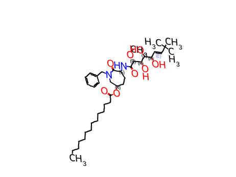 CCCCCCCCCCCCCC(=O)O[C@@H]1CC[C@H](NC(=O)[C@H](OC)[C@H](O)[C@@H](O)[C@H](O)/C=C/C(C)(C)C)C(=O)N(Cc2ccccc2)C1